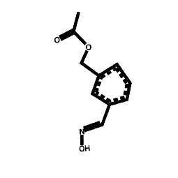 CC(=O)OCc1cccc(C=NO)c1